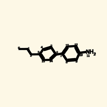 CCCc1ccc(-c2ccc(N)cc2)cc1